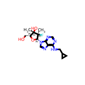 C[C@]1(O)[C@@H](CO)O[C@@H](n2cnc3c(NCC4CC4)ncnc32)[C@]1(C)F